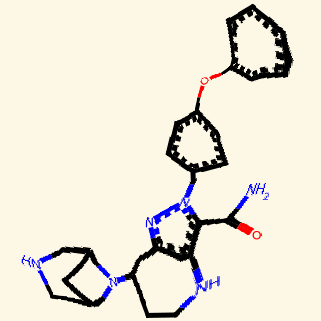 NC(=O)c1c2c(nn1-c1ccc(Oc3ccccc3)cc1)C(N1C3CNCC1C3)CCN2